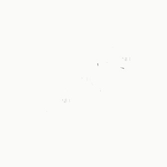 CC(C)(C)CNC(=O)[C@H]1CC[C@H]2[C@@H]3CC[C@H]4NCC=C[C@]4(C)[C@H]3CC[C@]12C